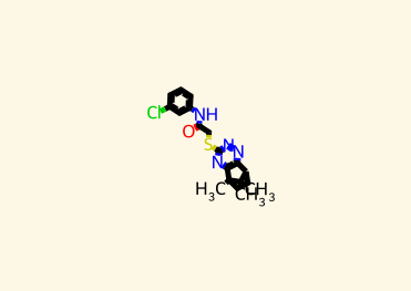 CC12CCC(c3nnc(SCC(=O)Nc4cccc(Cl)c4)nc31)C2(C)C